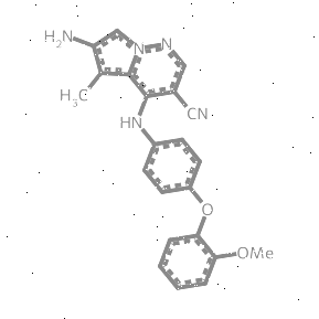 COc1ccccc1Oc1ccc(Nc2c(C#N)cnn3cc(N)c(C)c23)cc1